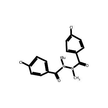 CN(C(=O)c1ccc(Cl)cc1)N(C(=O)c1ccc(Cl)cc1)C(C)(C)C